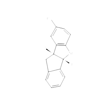 CC(C)c1ccc2c(c1)[C@H]1Cc3ccccc3[C@H]1N2